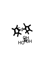 CC1=C(C)C(C)(C)[C]([Gd][C]2=C(C)C(C)=C(C)C2(C)C)=C1C.OB(O)O